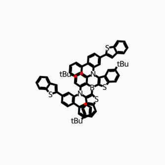 CC(C)(C)c1cc2c3c(c1)N(c1cc(-c4cc5ccccc5s4)ccc1-c1ccccc1)c1c(sc4ccc(C(C)(C)C)cc14)B3c1sc3ccc(C(C)(C)C)cc3c1N2c1cc(-c2cc3ccccc3s2)ccc1-c1ccccc1